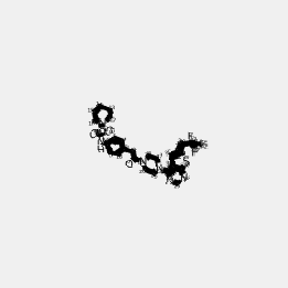 O=C(Cc1ccc(NS(=O)(=O)N2CCCCC2)cc1)N1CCN(c2ncnc3sc(CC(F)(F)F)cc23)CC1